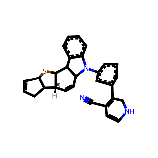 N#CC1=C(c2cccc(N3c4ccccc4C4C5SC6C=CCC6[C@H]5C=CC43)c2)CNC=C1